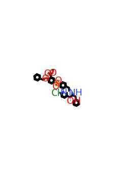 COC(=O)c1cc(S(=O)(=O)c2ccc(CCNC(Cc3ccccc3)[C@H](O)c3ccc(Cl)nc3)cc2)ccc1OCc1ccccc1